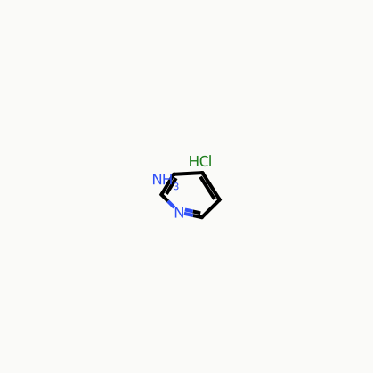 Cl.N.c1ccncc1